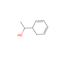 CC(O)C1C=CC=CC1